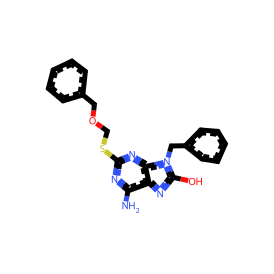 Nc1nc(SCOCc2ccccc2)nc2c1nc(O)n2Cc1ccccc1